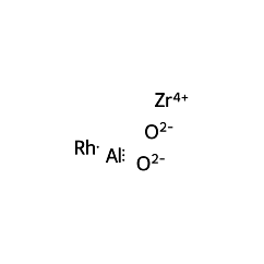 [Al].[O-2].[O-2].[Rh].[Zr+4]